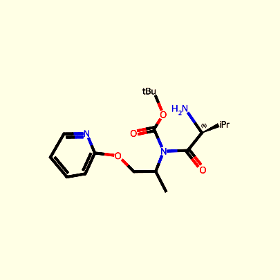 CC(C)[C@H](N)C(=O)N(C(=O)OC(C)(C)C)C(C)COc1ccccn1